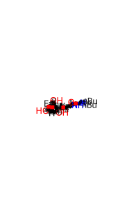 CCCCN(CCCC)CCCNC(=O)CC[C@@H](C)[C@H]1CC[C@@H]([C@@H]2[C@H](O)C[C@@H]3C[C@H](O)CC[C@]3(C)[C@H]2C[C@H](O)CC)C1